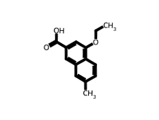 CCOc1cc(C(=O)O)cc2cc(C)ccc12